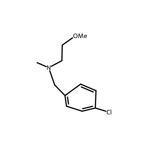 COCCN(C)Cc1ccc(Cl)cc1